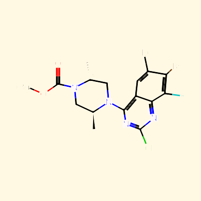 CCc1cc2c(N3C[C@@H](C)N(C(=O)OC(C)(C)C)C[C@@H]3C)nc(Cl)nc2c(F)c1Br